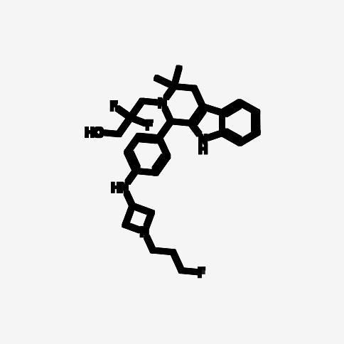 CC1(C)Cc2c([nH]c3ccccc23)C(c2ccc(NC3CN(CCCF)C3)cc2)N1CC(F)(F)CO